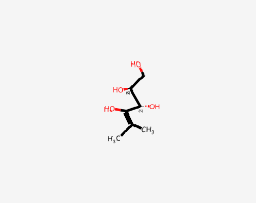 CC(C)=C(O)[C@@H](O)[C@@H](O)CO